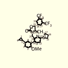 COc1ccc(C2CC2)cc1-c1ccc(N2CCC2)nc1CN1C(=O)O[C@H](c2cc(C(F)(F)F)cc(C(F)(F)F)c2)C1C